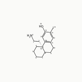 NCC[C@@]12CCCCC1CCc1cc(I)c(O)cc12